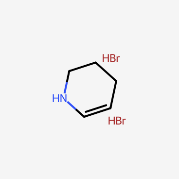 Br.Br.C1=CNCCC1